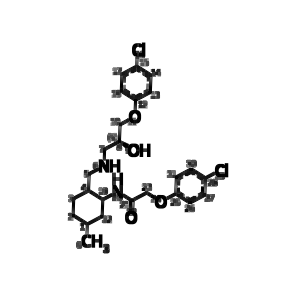 CC1CCC(CNC[C@H](O)COc2ccc(Cl)cc2)C(NC(=O)COc2ccc(Cl)cc2)C1